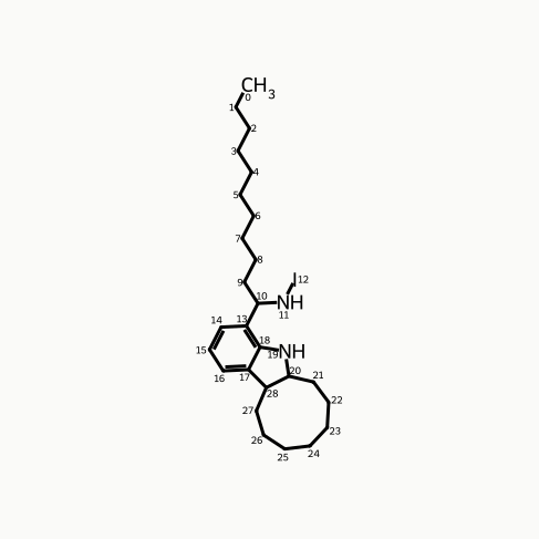 CCCCCCCCCCC(NI)c1cccc2c1NC1CCCCCCCC21